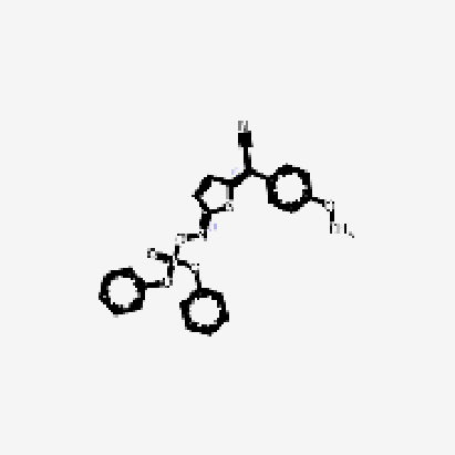 COc1ccc(/C(C#N)=C2C=C/C(=N\OP(=O)(Oc3ccccc3)Oc3ccccc3)S/2)cc1